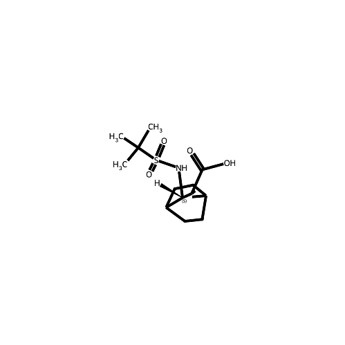 CC(C)(C)S(=O)(=O)N[C@@H]1C(C(=O)O)=C2CCC1CC2